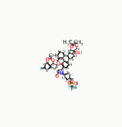 CC(=O)OC(CC[C@H]1C(=O)N(c2ccc(OS(=O)(=O)C(F)(F)F)cc2)[C@@H]1c1ccc(-c2ccc(C3(O)COC(C)(C)OC3)cc2)cc1OCc1ccccc1)c1ccc(F)cc1